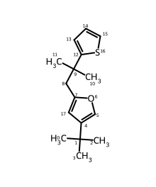 CC(C)(C)c1coc(CC(C)(C)c2cccs2)c1